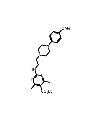 CCOC(=O)c1c(C)nc(NCCN2CCN(c3ccc(OC)cc3)CC2)nc1C